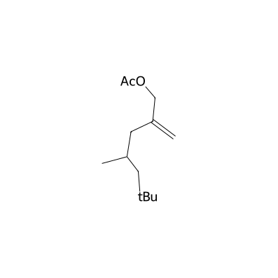 C=C(COC(C)=O)CC(C)CC(C)(C)C